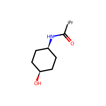 CC(C)C(=O)N[C@H]1CC[C@@H](O)CC1